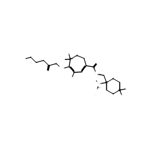 C=C(CCCC)COC1=C(C)C=C(C(=O)NCC2(N(C)C)CCC(F)(F)CC2)CCC1(C)C